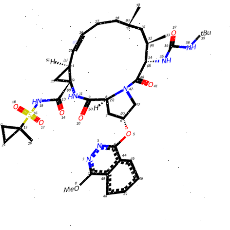 COc1nnc(O[C@@H]2C[C@H]3C(=O)N[C@]4(C(=O)NS(=O)(=O)C5(C)CC5)C[C@H]4/C=C\CC[C@@H](C)C[C@@H](C)[C@H](NC(=O)NC(C)(C)C)C(=O)N3C2)c2ccccc12